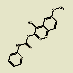 COc1ccc2nnc(OC(=O)Nc3ccccn3)c(O)c2c1